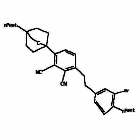 CCCCCc1ccc(CCc2ccc(C34CCC(CCCCC)(CC3)CC4)c(C#N)c2C#N)cc1Br